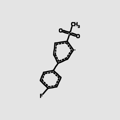 CS(=O)(=O)c1[c]cc(-c2ccc(F)cc2)cc1